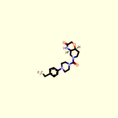 O=C1CO[C@H]2CCN(C(=O)N3CCN(c4ccc(CC(F)(F)F)cc4)CC3)C[C@H]2N1